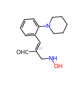 O=C/C(=C\c1ccccc1N1CCCCC1)CNO